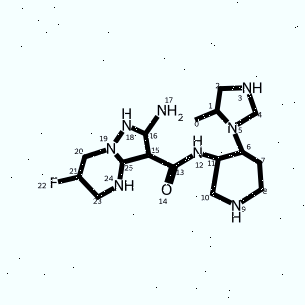 CC1CNCN1C1CCNCC1NC(=O)C1C(N)NN2CC(F)CNC12